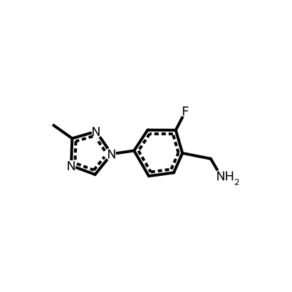 Cc1ncn(-c2ccc(CN)c(F)c2)n1